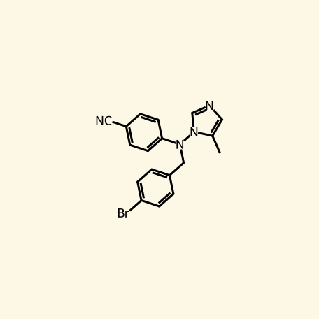 Cc1cncn1N(Cc1ccc(Br)cc1)c1ccc(C#N)cc1